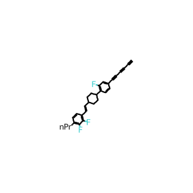 C#CC#CC#Cc1ccc(C2CCC(/C=C/c3ccc(CCC)c(F)c3F)CC2)c(F)c1